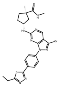 CCc1nnc(-c2ccc(-n3nc(Br)c4cnc(N[C@@H]5CC[C@@](C)(C(=O)NC)C5)nc43)cc2)s1